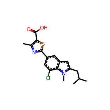 Cc1nc(-c2cc(Cl)c3c(c2)cc(CC(C)C)n3C)sc1C(=O)O